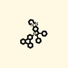 c1ccc(-c2c(-c3ccccc3)n(-c3ccc4c5ccccc5c5ccccc5c4c3)c3cc4c(cc23)nc2ccccn24)cc1